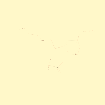 CCCCCCOc1cccc(CCCNCCC(=O)O)c1.O=C(O)C(F)(F)F